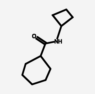 O=C(NC1CCC1)C1CCCCC1